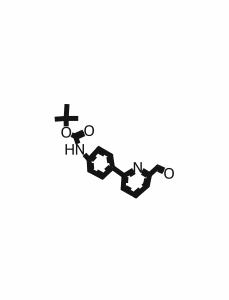 CC(C)(C)OC(=O)Nc1ccc(-c2cccc(C=O)n2)cc1